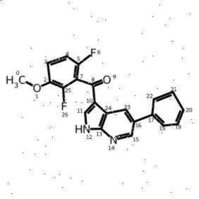 COc1ccc(F)c(C(=O)c2c[nH]c3ncc(-c4ccccc4)cc23)c1F